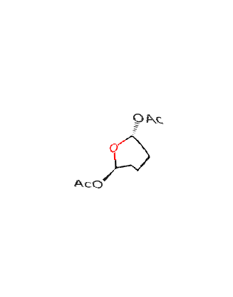 CC(=O)O[C@@H]1CC[C@@H](OC(C)=O)O1